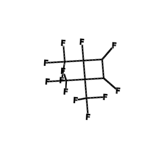 FC1C(F)C(C(F)(F)F)(C(F)(F)F)C1(F)C(F)(F)F